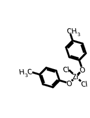 Cc1ccc([O][Zr]([Cl])([Cl])[O]c2ccc(C)cc2)cc1